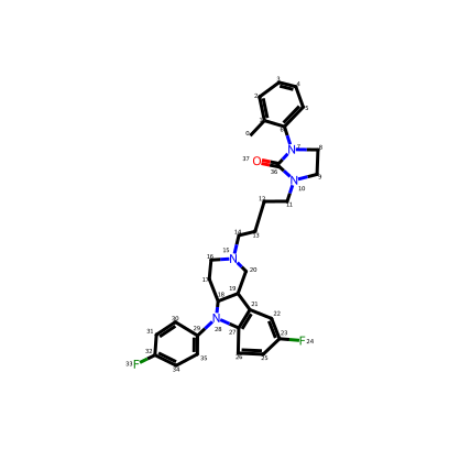 Cc1ccccc1N1CCN(CCCCN2CCC3C(C2)c2cc(F)ccc2N3c2ccc(F)cc2)C1=O